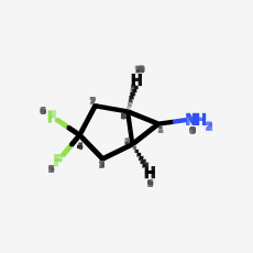 NC1[C@H]2CC(F)(F)C[C@@H]12